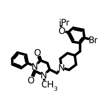 CC(C)Oc1ccc(Br)c(CC2CCN(CC3CC(=O)N(c4ccccc4)C(=O)N3C)CC2)c1